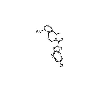 CC(=O)c1cccc2c1CCN(C(=O)c1cc3ncc(Cl)cn3n1)C2C